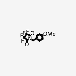 COc1ccc(CN2C(=O)C(F)(F)C(F)(F)C2=O)cc1